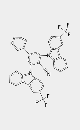 N#Cc1c(-n2c3ccccc3c3cc(C(F)(F)F)ccc32)cc(-c2cccnc2)cc1-n1c2ccccc2c2cc(C(F)(F)F)ccc21